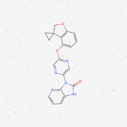 O=c1[nH]c2cccnc2n1-c1cnc(Oc2cccc3c2C2(CC2)CO3)cn1